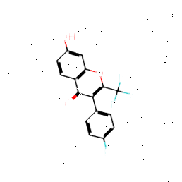 O=c1c(-c2ccc(F)cc2)c(C(F)(F)F)oc2cc(O)ccc12